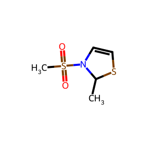 CC1SC=CN1S(C)(=O)=O